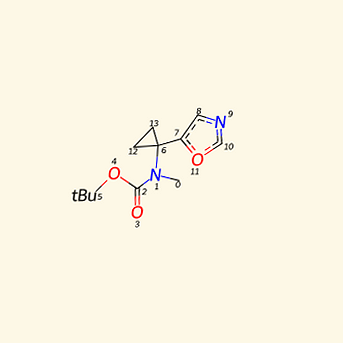 CN(C(=O)OC(C)(C)C)C1(c2cnco2)CC1